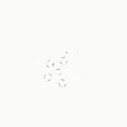 Cl.Cl.Cl.NC1(c2ccc(-c3c(-c4ccc(C(=O)N5CCCC5)cc4)nc4n3-c3cccnc3Nc3ccccc3-4)cc2)CCC1